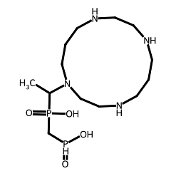 CC(N1CCCNCCNCCCNCC1)P(=O)(O)C[PH](=O)O